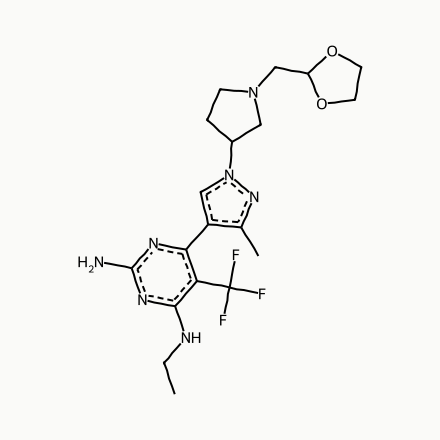 CCNc1nc(N)nc(-c2cn(C3CCN(CC4OCCO4)C3)nc2C)c1C(F)(F)F